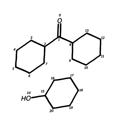 O=C(C1CCCCC1)C1CCCCC1.OC1CCCCC1